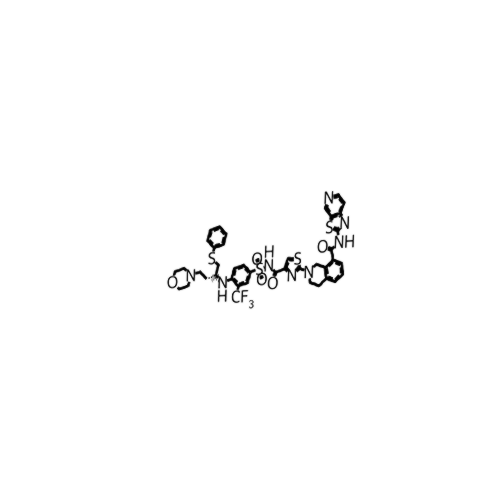 O=C(NS(=O)(=O)c1ccc(N[C@H](CCN2CCOCC2)CSc2ccccc2)c(C(F)(F)F)c1)c1csc(N2CCc3cccc(C(=O)Nc4nc5ccncc5s4)c3C2)n1